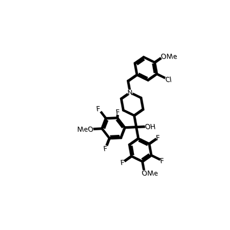 COc1ccc(CN2CCC(C(O)(c3cc(F)c(OC)c(F)c3F)c3cc(F)c(OC)c(F)c3F)CC2)cc1Cl